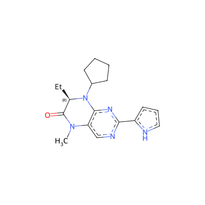 CC[C@@H]1C(=O)N(C)c2cnc(-c3ccc[nH]3)nc2N1C1CCCC1